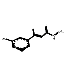 CNNC(=O)/C=C(\C)c1cccc(Br)c1